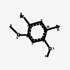 COc1cc(OC)c(Br)[c]c1Br